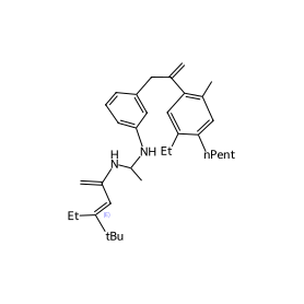 C=C(/C=C(\CC)C(C)(C)C)NC(C)Nc1cccc(CC(=C)c2cc(CC)c(CCCCC)cc2C)c1